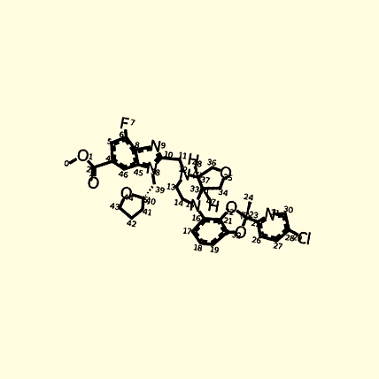 COC(=O)c1cc(F)c2nc(CN3CCN(c4cccc5c4O[C@](C)(c4ccc(Cl)cn4)O5)[C@H]4COC[C@H]43)n(C[C@@H]3CCCO3)c2c1